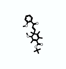 COc1ccccc1C(=O)C=CC1(C)C(C)=C(C)C(C(=O)OC(C)(C)C)=C(C)C1OC